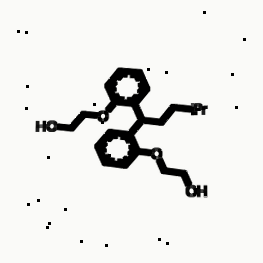 CC(C)CCC(c1ccccc1OCCO)c1ccccc1OCCO